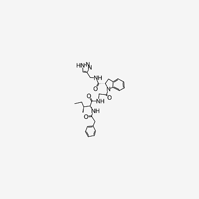 CC[C@H](C)[C@H](NC(=O)Cc1ccccc1)C(=O)NCC(=O)N1c2ccccc2C[C@H]1C(=O)NCc1c[nH]nn1